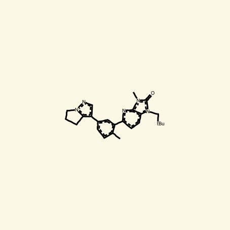 Cc1ccc(-c2cnn3c2CCC3)cc1-c1ccc2c(n1)n(C)c(=O)n2CC(C)(C)C